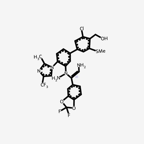 CSc1cc(-c2ccc(-n3cc(C(F)(F)F)nc3C)c(N(N)/C(=C\N)c3ccc4c(c3)OC(F)(F)O4)c2)cc(Cl)c1CO